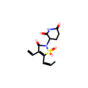 C=CC1=C(/C=C\C)S(=O)(=O)N(C2CCC(=O)NC2=O)C1=O